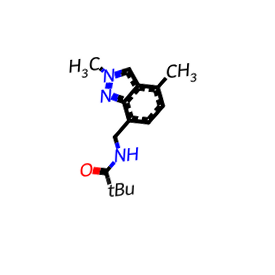 Cc1ccc(CNC(=O)C(C)(C)C)c2nn(C)cc12